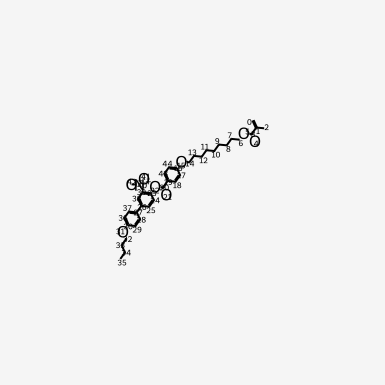 C=C(C)C(=O)OCCCCCCCCCOc1ccc(C(=O)Oc2ccc(-c3ccc(OCCCC)cc3)cc2[N+](=O)[O-])cc1